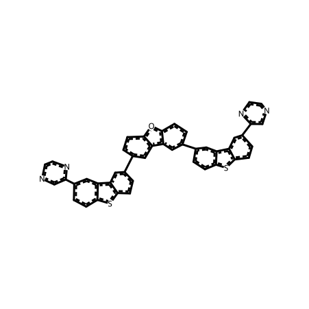 c1cnc(-c2ccc3sc4ccc(-c5ccc6oc7ccc(-c8ccc9sc%10ccc(-c%11cnccn%11)cc%10c9c8)cc7c6c5)cc4c3c2)cn1